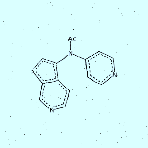 CC(=O)N(c1ccncc1)c1csc2cnccc12